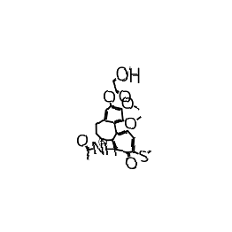 COc1c(OC(=O)CO)cc2c(c1OC)-c1ccc(SC)c(=O)cc1[C@@H](NC(C)=O)CC2